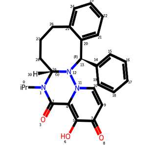 CC(C)N1C(=O)c2c(O)c(=O)ccn2N2[C@H](c3ccccc3)c3ccccc3CCC[C@@H]12